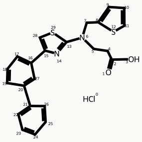 Cl.O=C(O)CCN(Cc1cccs1)c1nc(-c2cccc(-c3ccccc3)c2)cs1